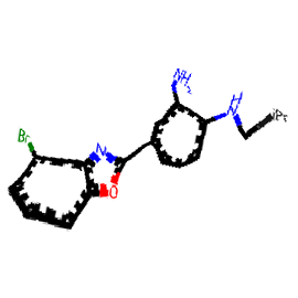 CC(C)CNc1ccc(-c2nc3c(Br)cccc3o2)cc1N